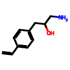 C=Cc1ccc(CC(O)CN)cc1